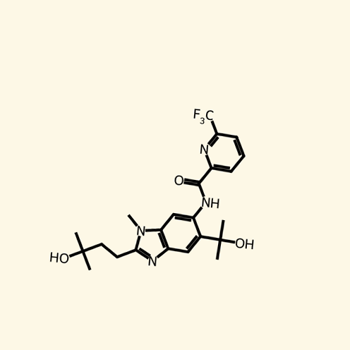 Cn1c(CCC(C)(C)O)nc2cc(C(C)(C)O)c(NC(=O)c3cccc(C(F)(F)F)n3)cc21